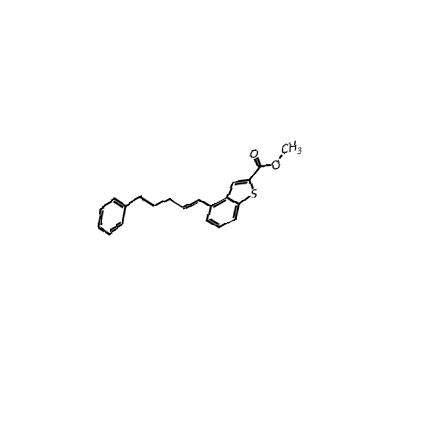 COC(=O)c1cc2c(C=CCCCc3ccccc3)cccc2s1